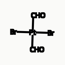 O=[CH][Pt]([Br])([Br])[CH]=O